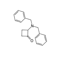 O=C1CCC1N(Cc1ccccc1)Cc1ccccc1